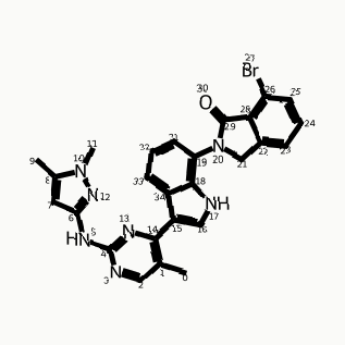 Cc1cnc(Nc2cc(C)n(C)n2)nc1-c1c[nH]c2c(N3Cc4cccc(Br)c4C3=O)cccc12